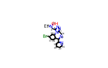 CCN(O)Cc1nnc2n1-c1cc(Br)ccc1C(c1ccccn1)=NC2